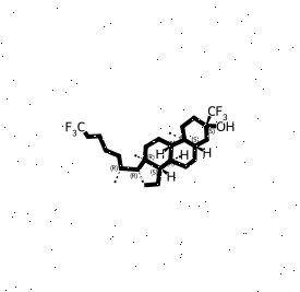 C[C@H](CCCCC(F)(F)F)[C@H]1CC[C@H]2[C@@H]3CC[C@H]4C[C@](O)(C(F)(F)F)CC[C@]4(C)[C@H]3CC[C@]12C